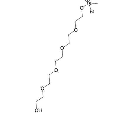 C[TeH](C)(Br)(Br)OCCOCCOCCOCCOCCO